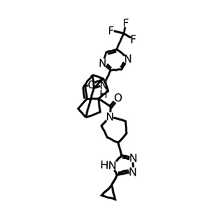 O=C(N1CCC(c2nnc(C3CC3)[nH]2)CC1)C12CC3CC1=C1CC4(C2)C1C34Nc1cnc(C(F)(F)F)cn1